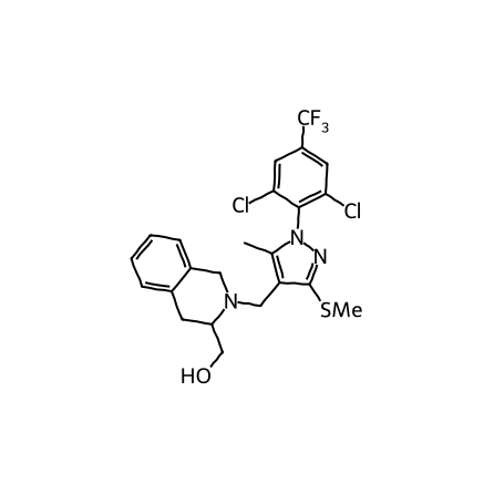 CSc1nn(-c2c(Cl)cc(C(F)(F)F)cc2Cl)c(C)c1CN1Cc2ccccc2CC1CO